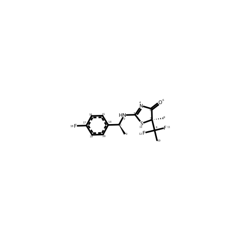 C[C@H](NC1=NC(=O)[C@@](C)(C(C)(F)F)S1)c1ccc(F)cc1